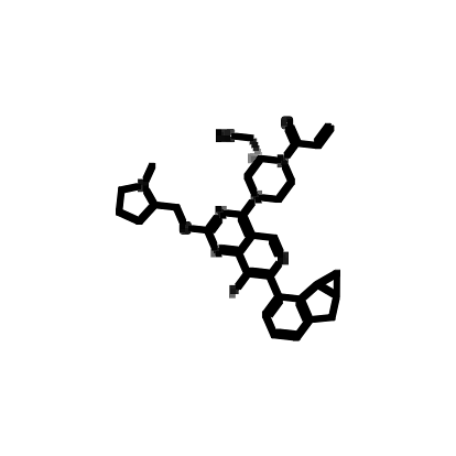 C=CC(=O)N1CCN(c2nc(OCC3CCCN3C)nc3c(F)c(-c4cccc5c4C4CC4C5)ncc23)C[C@@H]1CC#N